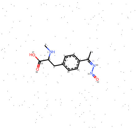 CNC(Cc1ccc(/C(C)=N\N=O)cc1)C(=O)O